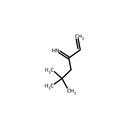 C=CC(=N)CC(C)(C)C